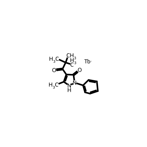 Cc1[nH]n(-c2ccccc2)c(=O)c1C(=O)C(C)(C)C.[Tb]